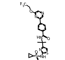 CC(C)(NC(=O)c1ccc(-c2cncc(OCC(F)(F)F)n2)cc1)c1csc(NS(=O)(=O)C2CC2)n1